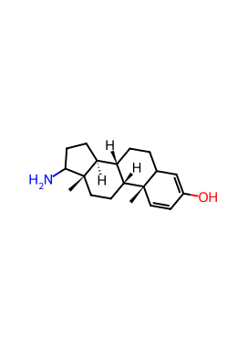 C[C@]12C=CC(O)=CC1CC[C@@H]1[C@H]2CC[C@]2(C)C(N)CC[C@@H]12